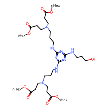 CCCCCCOC(=O)CCN(CCCNc1nc(NCCCO)nc(NCCCN(CCC(=O)OCCCCCC)CCC(=O)OCCCCCC)n1)CCC(=O)OCCCCCC